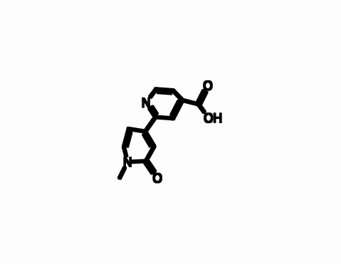 Cn1ccc(-c2cc(C(=O)O)ccn2)cc1=O